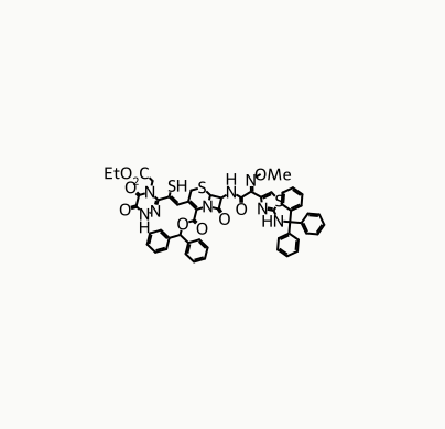 CCOC(=O)Cn1c(C(S)=CC2=C(C(=O)OC(c3ccccc3)c3ccccc3)N3C(=O)C(NC(=O)C(=NOC)c4csc(NC(c5ccccc5)(c5ccccc5)c5ccccc5)n4)C3SC2)n[nH]c(=O)c1=O